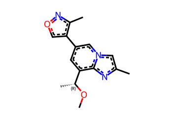 CO[C@H](C)c1cc(-c2conc2C)cn2cc(C)nc12